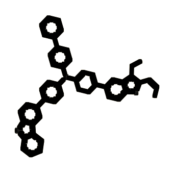 C/C=C\c1sc2ccc(C3=CC=C(N(c4ccc(-c5ccccc5)cc4)c4ccc(-c5ccc6oc7ccccc7c6c5)cc4)CC3)cc2c1CC